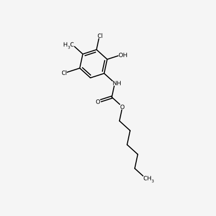 CCCCCCOC(=O)Nc1cc(Cl)c(C)c(Cl)c1O